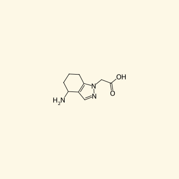 NC1CCCc2c1cnn2CC(=O)O